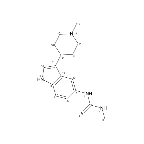 CNC(=S)Nc1ccc2[nH]cc(C3CCN(C)CC3)c2c1